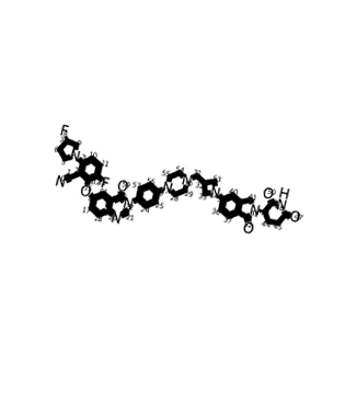 N#Cc1c(N2CC[C@@H](F)C2)ccc(F)c1Oc1ccc2ncn(-c3ccc(N4CCN(CC5CN(c6ccc7c(c6)CN([C@@H]6CCC(=O)NC6=O)C7=O)C5)CC4)cc3)c(=O)c2c1